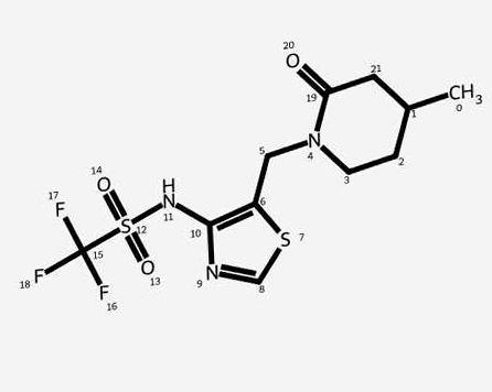 CC1CCN(Cc2scnc2NS(=O)(=O)C(F)(F)F)C(=O)C1